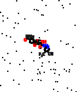 CNC(=O)c1ccc(S(=O)(=O)C[C@](C)(O)C(=O)Nc2cc(C(F)(F)F)c(C#N)cn2)cc1